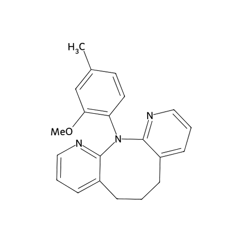 COc1cc(C)ccc1N1c2ncccc2CCCc2cccnc21